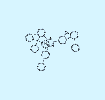 c1ccc(-c2ccc(-c3nc(-c4ccc5c(c4)oc4cccc(-c6ccccc6)c45)nc(-c4cccc5c4C(c4ccccc4)(c4ccccc4)c4ccccc4-5)n3)cc2)cc1